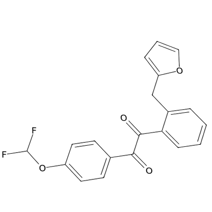 O=C(C(=O)c1ccccc1Cc1ccco1)c1ccc(OC(F)F)cc1